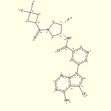 Nc1ncnn2c(-c3cncc(C(=O)N[C@@H]4CN(C(=O)C5CC(F)(F)C5)C[C@@H]4F)c3)cc(C(F)(F)F)c12